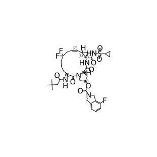 CC(C)(C)CC(=O)N[C@H]1CCCC(F)(F)C/C=C\[C@@H]2C[C@@]2(C(=O)NS(=O)(=O)C2CC2)NC(=O)[C@@H]2C[C@@H](OC(=O)N3Cc4cccc(F)c4C3)CN2C1=O